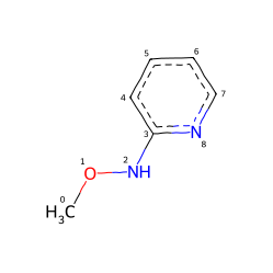 CONc1ccccn1